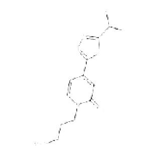 COCCCn1ccc(-c2nnc(C(F)F)o2)cc1=O